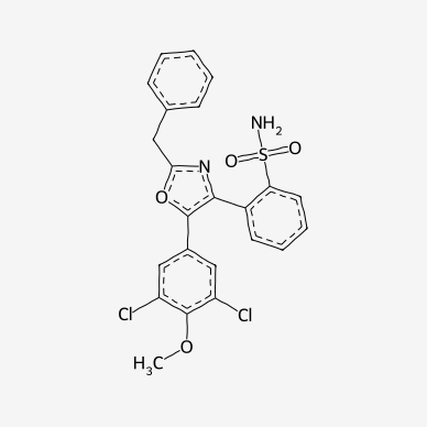 COc1c(Cl)cc(-c2oc(Cc3ccccc3)nc2-c2ccccc2S(N)(=O)=O)cc1Cl